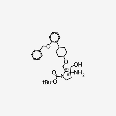 CC(C)(C)OC(=O)N1CC[C@@](N)(CO)[C@@H]1COC1CCC(c2ccccc2OCc2ccccc2)CC1